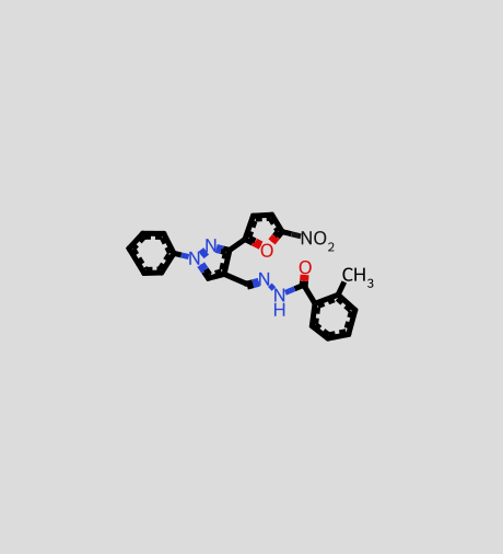 Cc1ccccc1C(=O)NN=Cc1cn(-c2ccccc2)nc1-c1ccc([N+](=O)[O-])o1